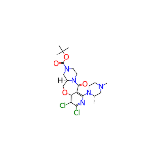 C[C@H]1CN(C)CCN1c1nc(Cl)c(Cl)c2c1C(=O)N1CCN(C(=O)OC(C)(C)C)C[C@@H]1CO2